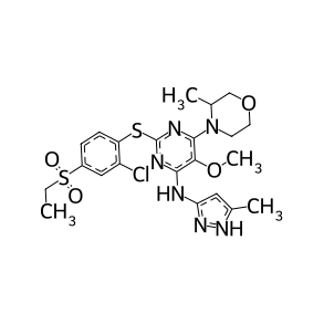 CCS(=O)(=O)c1ccc(Sc2nc(Nc3cc(C)[nH]n3)c(OC)c(N3CCOCC3C)n2)c(Cl)c1